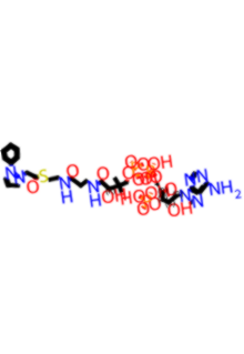 CC(C)(COP(=O)(O)OP(=O)(O)OC[C@H]1O[C@@H](n2cnc3c(N)ncnc32)[C@H](O)[C@@H]1OP(=O)(O)O)[C@@H](O)C(=O)NCCC(=O)NCCSC(=O)CN1CC=CN1c1ccccc1